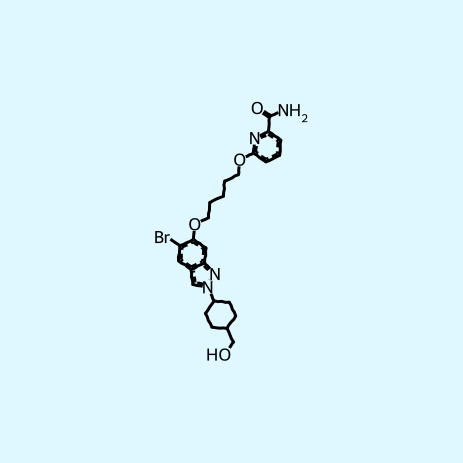 NC(=O)c1cccc(OCCCCCOc2cc3nn(C4CCC(CO)CC4)cc3cc2Br)n1